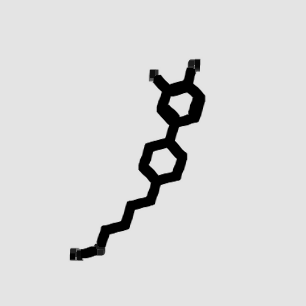 CCOCCCCC1CCC(c2ccc(Cl)c(F)c2)CC1